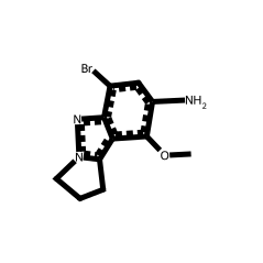 COc1c(N)cc(Br)c2nn3c(c12)CCC3